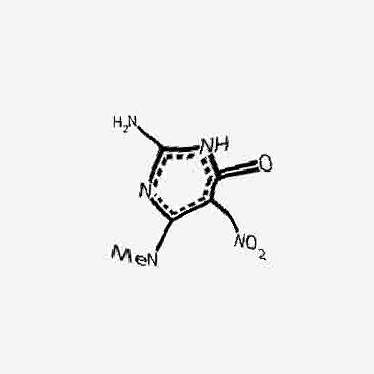 CNc1nc(N)[nH]c(=O)c1[N+](=O)[O-]